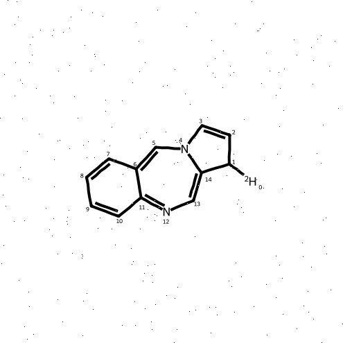 [2H]C1C=CN2C=c3ccccc3=NC=C12